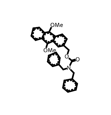 COc1c2ccccc2c(OC)c2cc(COC(=O)N(Cc3ccccc3)Cc3ccccc3)ccc12